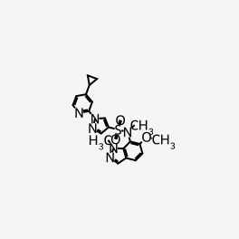 COc1ccc2cnn(C)c2c1N(C)S(=O)(=O)c1cnn(-c2cc(C3CC3)ccn2)c1